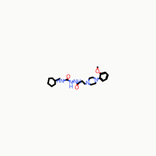 COc1ccccc1N1CCN(CCC(=O)NNC(=O)NCC2CCCCC2)CC1